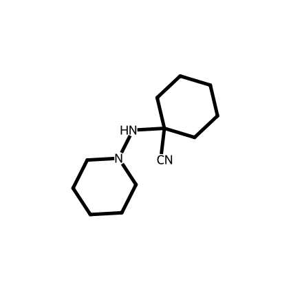 N#CC1(NN2CCCCC2)CCCCC1